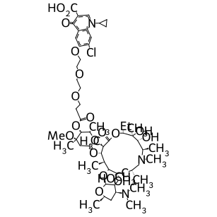 CC[C@H]1OC(=O)[C@H](C)[C@@H](O[C@H]2C[C@@](C)(OC)[C@@H](OC(=O)CCOCCOCCOc3cc4c(=O)c(C(=O)O)cn(C5CC5)c4cc3Cl)[C@H](C)O2)[C@H](C)[C@@H](O[C@@H]2O[C@H](C)C[C@H](N(C)C)C2O)[C@](C)(O)C[C@@H](C)CN(C)[C@H](C)[C@@H](O)[C@]1(C)O